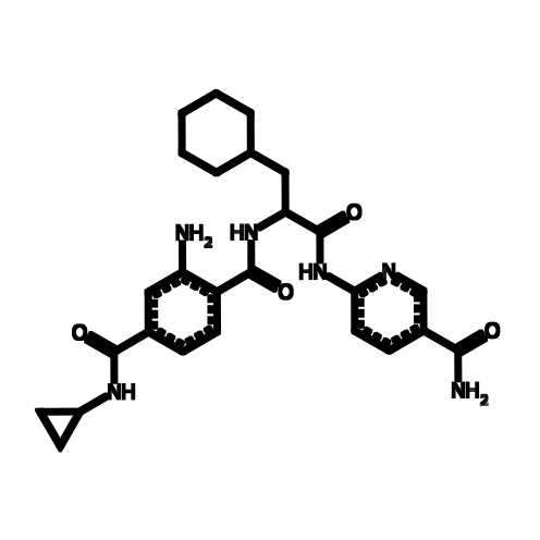 NC(=O)c1ccc(NC(=O)C(CC2CCCCC2)NC(=O)c2ccc(C(=O)NC3CC3)cc2N)nc1